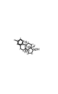 Cc1ccc2c(c1)CC[C@@H]1[C@@H]2CC[C@]2(C)[C@@H](O)CC[C@@H]12